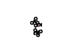 N#Cc1cc(-c2ccc(C#N)c(-n3c4ccccc4c4ccccc43)c2)cc(-c2ccccc2-n2c3ccccc3c3ccccc32)c1